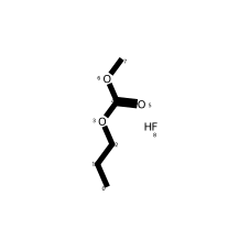 CCCOC(=O)OC.F